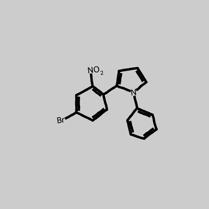 O=[N+]([O-])c1cc(Br)ccc1-c1cccn1-c1ccccc1